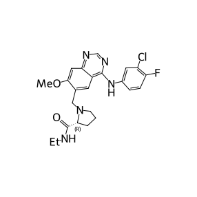 CCNC(=O)[C@H]1CCCN1Cc1cc2c(Nc3ccc(F)c(Cl)c3)ncnc2cc1OC